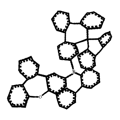 c1ccc(-c2ccccc2N(c2ccc3c(c2)-c2ccccc2-c2ccccc2O3)c2ccc3c(c2)C2(c4ccccc4-c4ccccc4-3)c3ccccc3-c3ccccc32)cc1